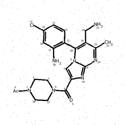 CC(=O)N1CCN(C(=O)c2cn3c(-c4ccc(Cl)cc4N)c(CN)c(C)nc3n2)CC1